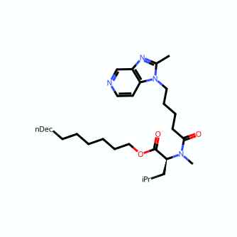 CCCCCCCCCCCCCCCCOC(=O)[C@H](CC(C)C)N(C)C(=O)CCCCn1c(C)nc2cnccc21